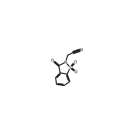 N#CCN1C(=O)c2ccccc2S1(=O)=O